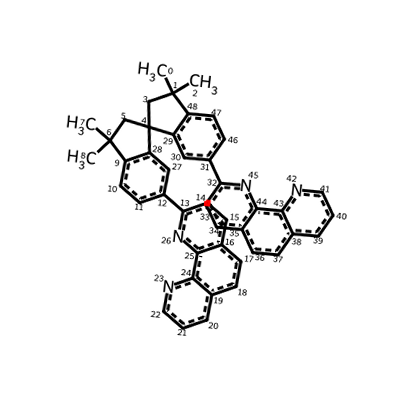 CC1(C)CC2(CC(C)(C)c3ccc(-c4ccc5ccc6cccnc6c5n4)cc32)c2cc(-c3ccc4ccc5cccnc5c4n3)ccc21